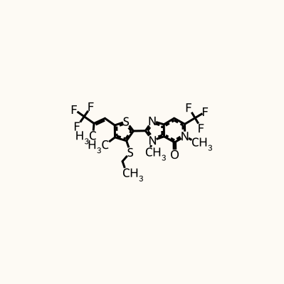 CCSc1c(-c2nc3cc(C(F)(F)F)n(C)c(=O)c3n2C)sc(/C=C(\C)C(F)(F)F)c1C